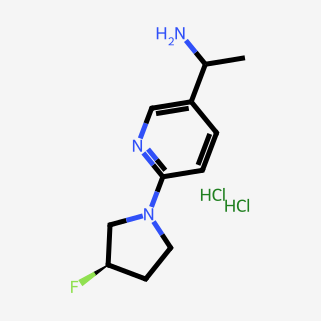 CC(N)c1ccc(N2CC[C@@H](F)C2)nc1.Cl.Cl